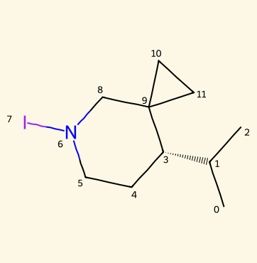 CC(C)[C@@H]1CCN(I)CC12CC2